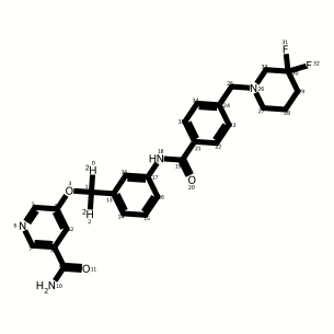 [2H]C([2H])(Oc1cncc(C(N)=O)c1)c1cccc(NC(=O)c2ccc(CN3CCCC(F)(F)C3)cc2)c1